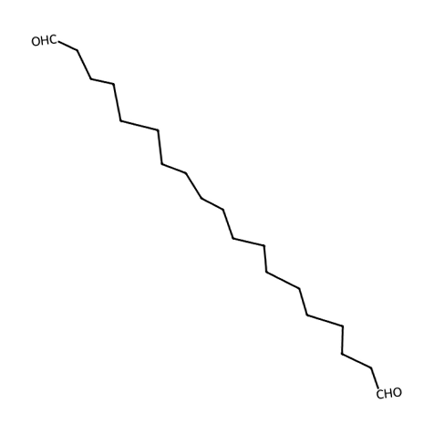 O=CCCCCCCCCCCCCCCCCCC=O